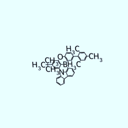 Cc1cc(C)c(-c2ccc3c(c2)B2c4c(cc(C(C)(C)C)cc4-n4c5ccccc5c5cccc2c54)O3)c(C)c1